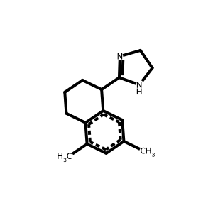 Cc1cc(C)c2c(c1)C(C1=NCCN1)CCC2